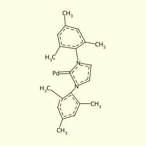 Cc1cc(C)c(-n2ccn(-c3c(C)cc(C)cc3C)[c]2=[Pd])c(C)c1